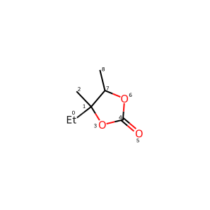 CCC1(C)OC(=O)OC1C